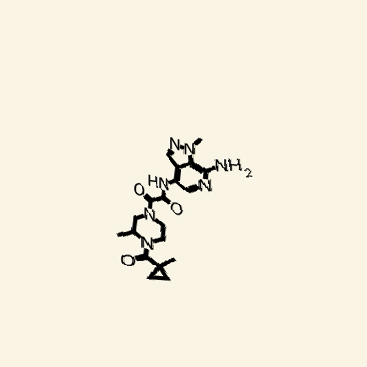 CC1CN(C(=O)C(=O)Nc2cnc(N)c3c2cnn3C)CCN1C(=O)C1(C)CC1